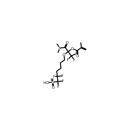 C=C(C)C(=O)OC(OCCCCC(F)(F)C(F)(F)S(=O)(=O)O)(C(=O)N(C)C)C(F)(F)F